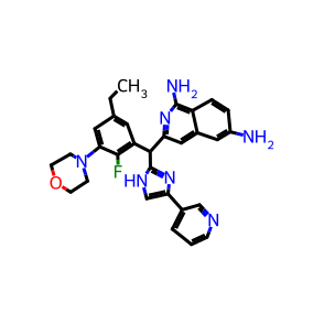 CCc1cc(C(c2cc3cc(N)ccc3c(N)n2)c2nc(-c3cccnc3)c[nH]2)c(F)c(N2CCOCC2)c1